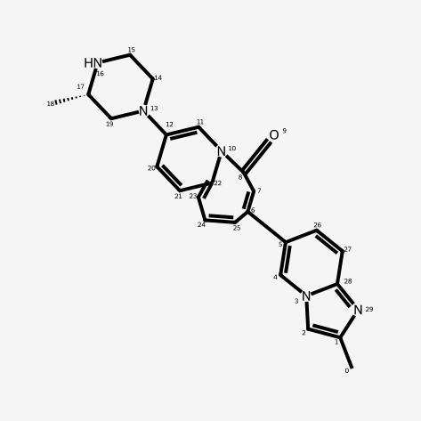 Cc1cn2cc(C3=C\C(=O)N4C=C(N5CCN[C@@H](C)C5)C=C\C4=C/C=C/3)ccc2n1